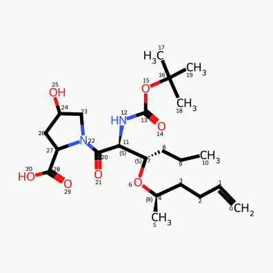 C=CCC[C@@H](C)O[C@@H](CCC)[C@H](NC(=O)OC(C)(C)C)C(=O)N1CC(O)CC1C(=O)O